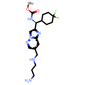 CC(C)(C)OC(=O)N[C@H](c1cn2ncc(CNCCCN)cc2n1)C1CCC(F)(F)CC1